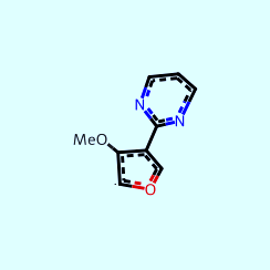 COc1[c]occ1-c1ncccn1